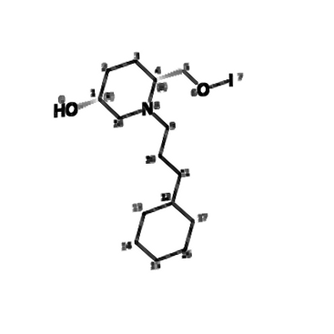 O[C@@H]1CC[C@H](COI)N(CCCC2CCCCC2)C1